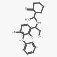 CCC(NC(C)C1CCCCC1=O)c1ccc(F)c(Oc2ccccc2)c1F